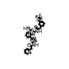 N=C(NC(=O)Cc1cccc(OC(F)(F)F)c1)SC(=N)N1CCCC(c2nnc(NC(=O)Cc3ccccn3)s2)C1